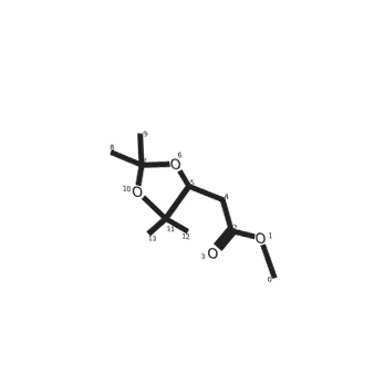 COC(=O)CC1OC(C)(C)OC1(C)C